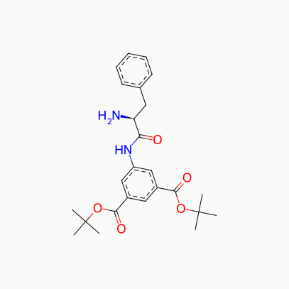 CC(C)(C)OC(=O)c1cc(NC(=O)[C@@H](N)Cc2ccccc2)cc(C(=O)OC(C)(C)C)c1